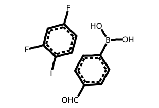 Fc1ccc(I)c(F)c1.O=Cc1ccc(B(O)O)cc1